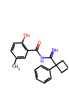 Cc1ccc(O)c(C(=O)NC(=N)C2(c3ccccc3)CCC2)c1